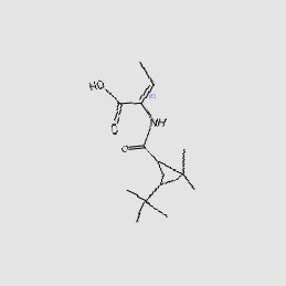 C/C=C(/NC(=O)C1C(C(C)(C)C)C1(C)C)C(=O)O